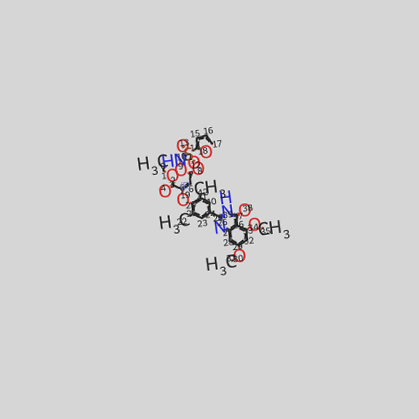 CCOC(=O)/C(=C\C(=O)ONS(=O)(=O)c1ccco1)Oc1c(C)cc(-c2nc3cc(OC)cc(OC)c3c(=O)[nH]2)cc1C